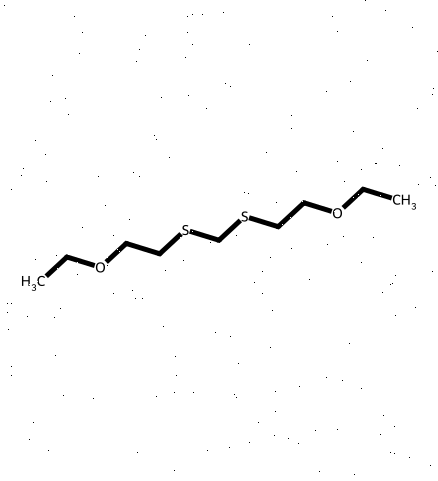 CCOCCSCSCCOCC